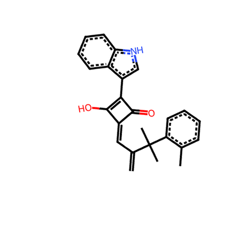 C=C(/C=C1\C(=O)C(c2c[nH]c3ccccc23)=C1O)C(C)(C)c1ccccc1C